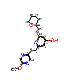 CCOc1cnc(CCc2cc(O)cc(OCC3CCCCO3)n2)cn1